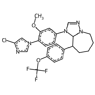 COc1cc(N2C=NN3CCCCC(c4ccc(OC(F)(F)F)cc4)C32)ccc1-n1cnc(Cl)c1